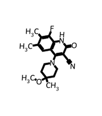 COC1(C)CCN(c2c(C#N)c(=O)[nH]c3c(F)c(C)c(C)cc23)CC1